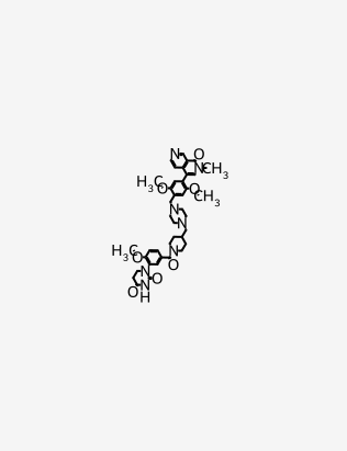 COc1cc(-c2cn(C)c(=O)c3cnccc23)c(OC)cc1CN1CCN(CC2CCN(C(=O)c3ccc(OC)c(N4CCC(=O)NC4=O)c3)CC2)CC1